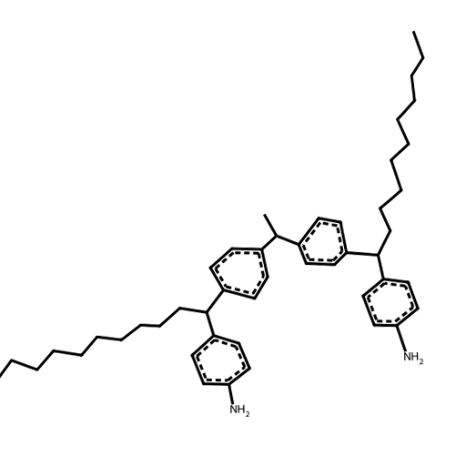 CCCCCCCCCCC(c1ccc(N)cc1)c1ccc(C(C)c2ccc(C(CCCCCCCCCC)c3ccc(N)cc3)cc2)cc1